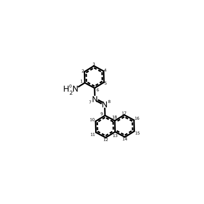 Nc1ccccc1/N=N/c1cccc2ccccc12